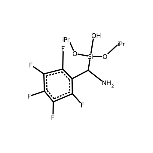 CC(C)O[Si](O)(OC(C)C)C(N)c1c(F)c(F)c(F)c(F)c1F